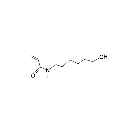 C=CC(=O)N(C)CCCCCCO